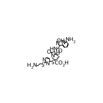 NCCSc1nccc(SC2(C(=O)O)CS[C@@H]3[C@H](NC(=O)C(=NO)c4cccc(N)n4)C(=O)N3C2)n1